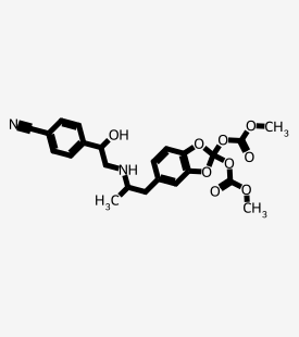 COC(=O)OC1(OC(=O)OC)Oc2ccc(CC(C)NCC(O)c3ccc(C#N)cc3)cc2O1